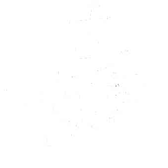 CC1=[C]([Zr+](=[C](C)c2ccccc2)[C]2(C)C3=C4Cc5ccccc5C4=C4C=CCCC4C3(C)C(C)(C)C(C)(C)C2(C)C)CC(C(C)(C)C)=C1.[Cl-]